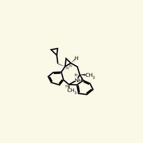 C[C@]12N[C@](C)(C[C@@H]3C[C@]3(CC3CC3)c3ccccc31)c1ccccc12